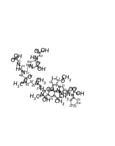 COc1cccc(OC)c1-c1cc(C(=O)N[C@H](C(=O)O)C2CCCCC2)nn1-c1ccc(C(O)N(C)CCCN(C)CCCN(C)C(=O)CN(CCNCC(=O)O)CCN(CCNCC(=O)O)CC(=O)O)cc1C(C)C